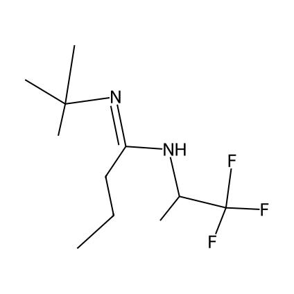 CCC/C(=N\C(C)(C)C)NC(C)C(F)(F)F